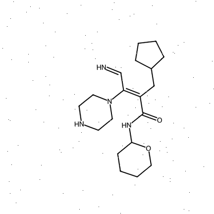 N=CC(=C(CC1CCCC1)C(=O)NC1CCCCO1)N1CCNCC1